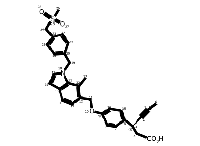 CC#C[C@@H](CC(=O)O)c1ccc(OCc2ccc3ccn(Cc4ccc(CS(C)(=O)=O)cc4)c3c2C)cc1